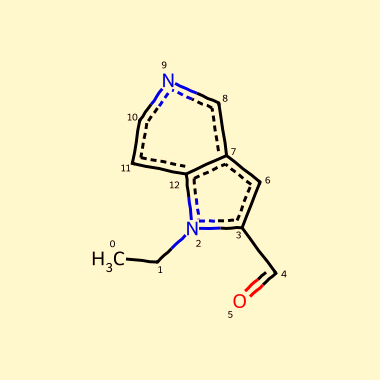 CCn1c(C=O)cc2cnccc21